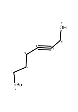 CCCCCCCC#CCO